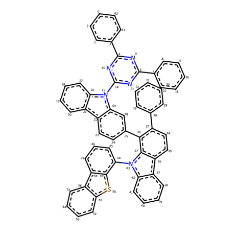 c1ccc(-c2nc(-c3ccccc3)nc(-n3c4ccccc4c4ccc(-c5c(-c6ccccc6)ccc6c7ccccc7n(-c7cccc8c7sc7ccccc78)c56)cc43)n2)cc1